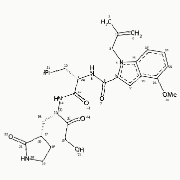 C=C(C)Cn1c(C(=O)N[C@@H](CC(C)C)C(=O)N[C@@H](C[C@@H]2CCNC2=O)C(=O)CO)cc2c(OC)cccc21